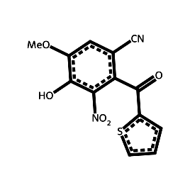 COc1cc(C#N)c(C(=O)c2cccs2)c([N+](=O)[O-])c1O